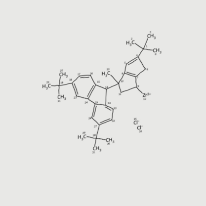 CC(C)(C)C1=CC2=C(C1)[CH]([Zr+2])CC2(C)C1c2ccc(C(C)(C)C)cc2-c2cc(C(C)(C)C)ccc21.[Cl-].[Cl-]